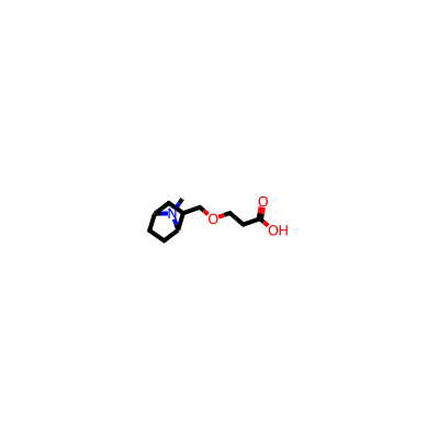 CN1C2CCC1C(COCCC(=O)O)C2